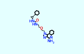 Nc1nc2ccccc2c2c1ncn2CCOCCNC(=O)NC1C[C@H]1c1ccccc1